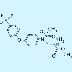 COC(=O)[C@@H](N)CN(c1ccc(Oc2ccc(C(F)(F)F)cc2)cc1)S(C)(=O)=O